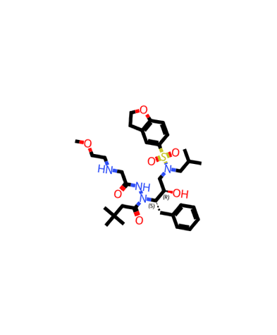 COCCNCC(=O)NN(C(=O)CC(C)(C)C)[C@@H](Cc1ccccc1)[C@H](O)CN(CC(C)C)S(=O)(=O)c1ccc2c(c1)CCO2